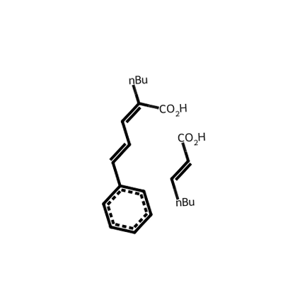 CCCCC(=CC=Cc1ccccc1)C(=O)O.CCCCC=CC(=O)O